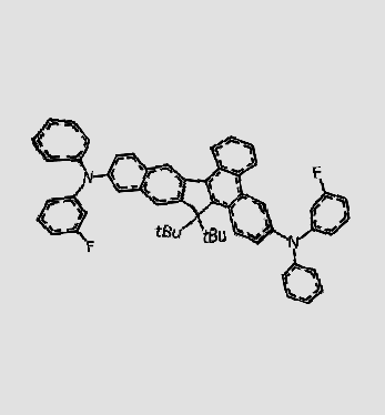 CC(C)(C)C1(C(C)(C)C)c2cc3cc(N(c4ccccc4)c4cccc(F)c4)ccc3cc2-c2c1c1ccc(N(c3ccccc3)c3cccc(F)c3)cc1c1ccccc21